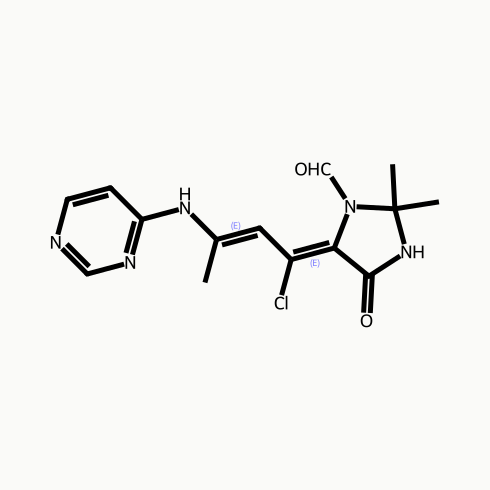 C/C(=C\C(Cl)=C1\C(=O)NC(C)(C)N1C=O)Nc1ccncn1